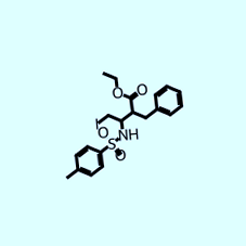 CCOC(=O)C(Cc1ccccc1)C(CI)NS(=O)(=O)c1ccc(C)cc1